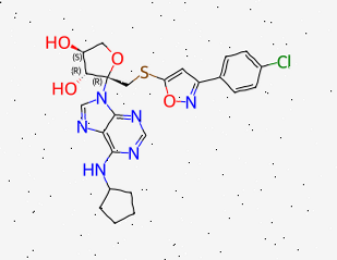 O[C@@H]1[C@@H](O)CO[C@]1(CSc1cc(-c2ccc(Cl)cc2)no1)n1cnc2c(NC3CCCC3)ncnc21